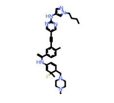 C=C(NC1=CC(C)(F)C(CN2CCN(C)CC2)C=C1)c1ccc(C)c(C#Cc2cnc(Nc3cnn(CCCC)c3)nc2)c1